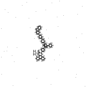 C=C/C(=C\c1c(C)c2ccccc2c2ccccc12)c1ccc(-c2nc(-c3ccccc3)cc(-c3ccc(-c4ccc(-c5ccc6sc7ccccc7c6c5)cc4)cc3)n2)cc1